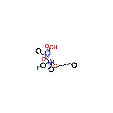 O=C(O)N1CCN(C(=O)c2cnn(-c3ccccc3OCCCCCCc3ccccc3)c2-c2ccc(F)cc2)C(Cc2ccccc2)C1